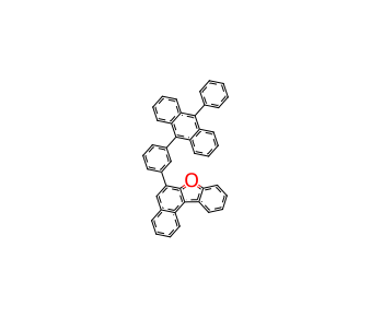 c1ccc(-c2c3ccccc3c(-c3cccc(-c4cc5ccccc5c5c4oc4ccccc45)c3)c3ccccc23)cc1